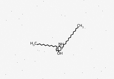 CCCCCCCCCCCCCCN(CC(=O)O)C(=N)NCCCCCCCCCCC